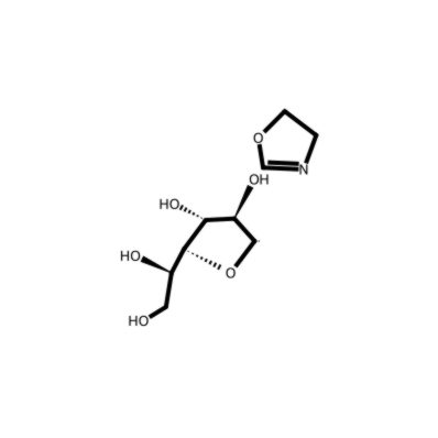 C1=NCCO1.OC[C@@H](O)[C@H]1O[CH][C@H](O)[C@H]1O